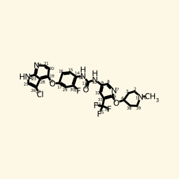 CN1CCC(Oc2ncc(NC(=O)Nc3ccc(Oc4ccnc5[nH]cc(Cl)c45)cc3F)cc2C(F)(F)F)CC1